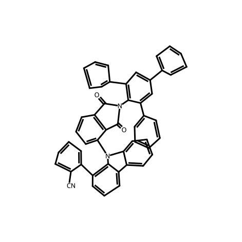 N#Cc1ccccc1-c1cccc2c3ccccc3n(-c3cccc4c3C(=O)N(c3c(-c5ccccc5)cc(-c5ccccc5)cc3-c3ccccc3)C4=O)c12